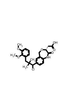 COc1cccc(CC(C)(C)C(Cl)c2ccc3c(c2)CO[C@H](CC(=O)O)C(=O)N3)c1OC